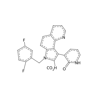 O=C(O)c1c(-c2ccc[nH]c2=O)c2c3ncccc3ccc2n1Cc1cc(F)ccc1F